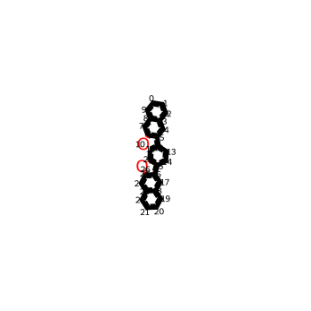 c1ccc2cc3c(cc2c1)oc1c3ccc2c3cc4ccccc4cc3oc21